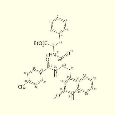 CCOC(=O)C(Cc1ccccc1)NC(=O)C(Cc1cc(=O)[nH]c2ccccc12)NC(=O)c1ccc(Cl)cc1